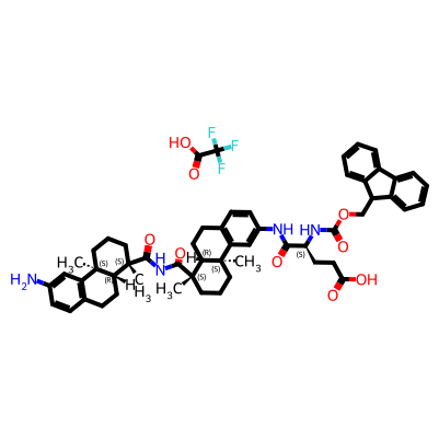 C[C@]1(C(=O)NC(=O)[C@@]2(C)CCC[C@]3(C)c4cc(NC(=O)[C@H](CCC(=O)O)NC(=O)OCC5c6ccccc6-c6ccccc65)ccc4CC[C@@H]23)CCC[C@]2(C)c3cc(N)ccc3CC[C@@H]12.O=C(O)C(F)(F)F